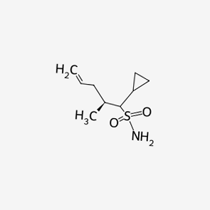 C=CC[C@H](C)C(C1CC1)S(N)(=O)=O